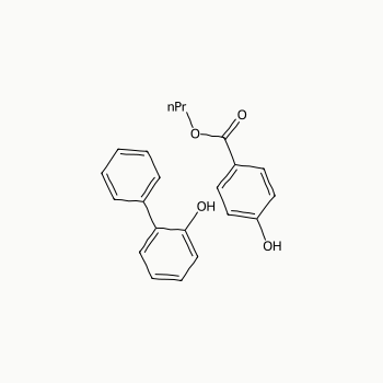 CCCOC(=O)c1ccc(O)cc1.Oc1ccccc1-c1ccccc1